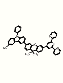 CC1(C)c2ccc(-c3cc(-c4ccccn4)nc(-c4ccccn4)c3)cc2Oc2cc(-c3ccc4c(c3)c3cc(C#N)ccc3n4-c3ccccc3)ccc21